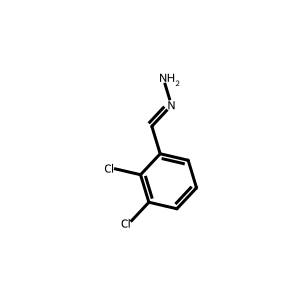 N/N=C/c1cccc(Cl)c1Cl